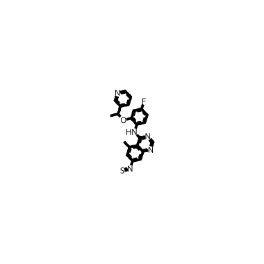 Cc1cc(N=S)cc2ncnc(Nc3ccc(F)cc3OC(C)c3cccnc3)c12